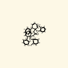 O=C(CC1(Oc2ccccc2I)C=CC=CC1c1ccccc1)CC1(Oc2ccccc2I)C=CC=CC1c1ccccc1